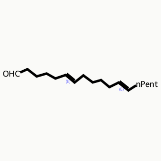 CCCCC/C=C/CCCC/C=C/CCCCC=O